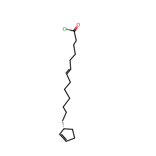 O=C(Cl)CCCC/C=C/CCCCCC[C@H]1C=CCC1